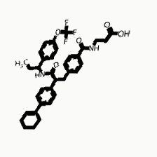 CCC(NC(=O)C(Cc1ccc(C(=O)NCCC(=O)O)cc1)c1ccc(C2=CCCCC2)cc1)c1ccc(OC(F)(F)F)cc1